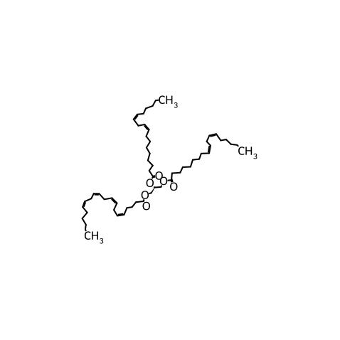 CCCCC/C=C\C/C=C\C/C=C\C/C=C\CCCC(=O)OC[C@H](COC(=O)CCCCCCC/C=C\C/C=C\CCCCC)OC(=O)CCCCCCC/C=C\C/C=C\CCCCC